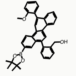 COc1ccccc1-c1cc2c3ccc(B4OC(C)(C)C(C)(C)O4)cc3c(-c3ccccc3CO)cc2c2ccccc12